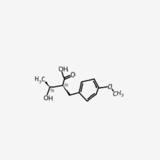 COc1ccc(C[C@H](C(=O)O)[C@H](C)O)cc1